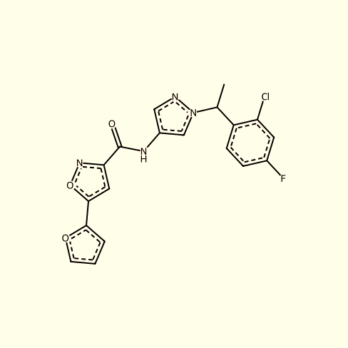 CC(c1ccc(F)cc1Cl)n1cc(NC(=O)c2cc(-c3ccco3)on2)cn1